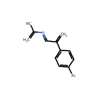 C=C(C#N)/N=C/C(=C)c1ccc(C(C)=O)cc1